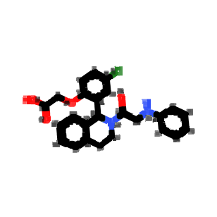 O=C(O)COc1ccc(Cl)cc1C1c2ccccc2CCN1C(=O)CNc1ccccc1